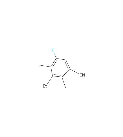 CCc1c(C)c(F)cc(C#N)c1C